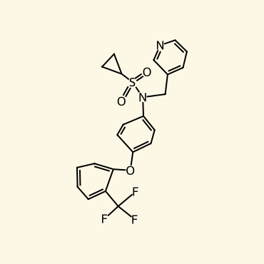 O=S(=O)(C1CC1)N(Cc1cccnc1)c1ccc(Oc2ccccc2C(F)(F)F)cc1